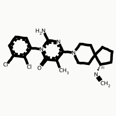 C=N[C@H]1CCCC12CCN(c1nc(N)n(-c3cccc(Cl)c3Cl)c(=O)c1C)CC2